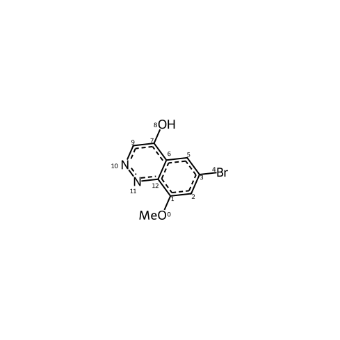 COc1cc(Br)cc2c(O)cnnc12